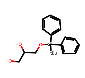 CC(C)(C)[Si](OCC(O)CO)(c1ccccc1)c1ccccc1